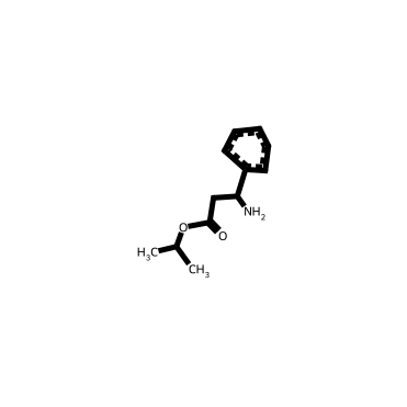 CC(C)OC(=O)CC(N)c1ccccc1